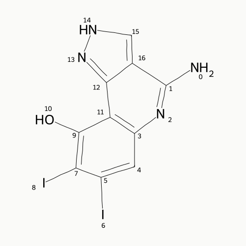 Nc1nc2cc(I)c(I)c(O)c2c2n[nH]cc12